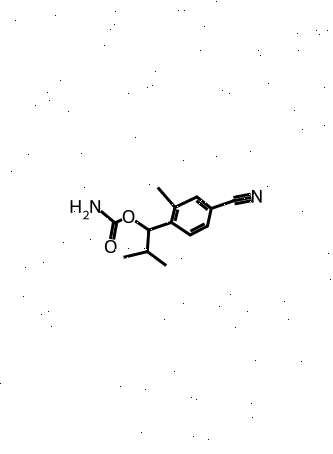 Cc1cc(C#N)ccc1C(OC(N)=O)C(C)C